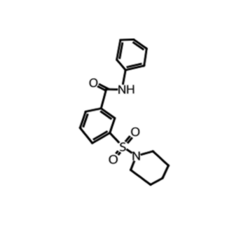 O=C(Nc1ccccc1)c1cccc(S(=O)(=O)N2CCCCC2)c1